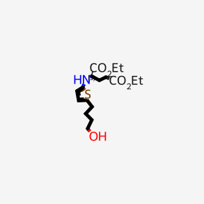 CCOC(=O)CC[C@H](Nc1ccc(CCCCO)s1)C(=O)OCC